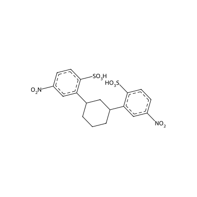 O=[N+]([O-])c1ccc(S(=O)(=O)O)c(C2CCCC(c3cc([N+](=O)[O-])ccc3S(=O)(=O)O)C2)c1